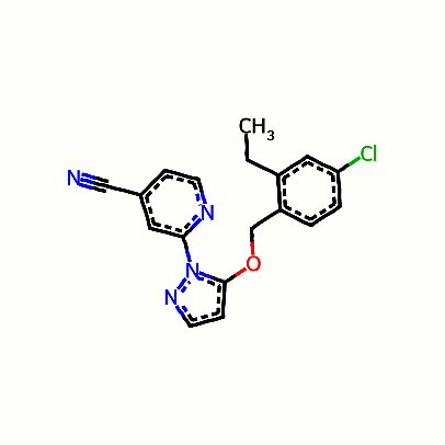 CCc1cc(Cl)ccc1COc1ccnn1-c1cc(C#N)ccn1